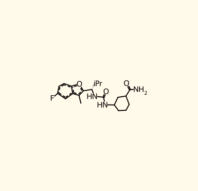 Cc1c([C@@H](NC(=O)NC2CCCC(C(N)=O)C2)C(C)C)oc2ccc(F)cc12